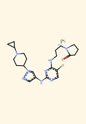 C[C@@H](CCNc1nc(Nc2cnn(C3CCN(C4CC4)CC3)c2)ncc1Cl)N1CCCC1=O